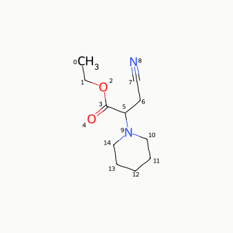 CCOC(=O)C(CC#N)N1CCCCC1